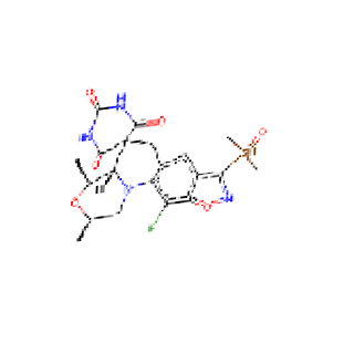 C[C@@H]1CN2c3c(cc4c([SH](C)(C)=O)noc4c3F)CC3(C(=O)NC(=O)NC3=O)[C@H]2[C@H](C)O1